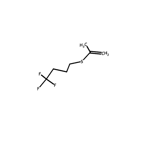 C=C(C)SCCCC(F)(F)F